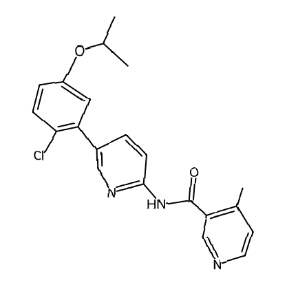 Cc1ccncc1C(=O)Nc1ccc(-c2cc(OC(C)C)ccc2Cl)cn1